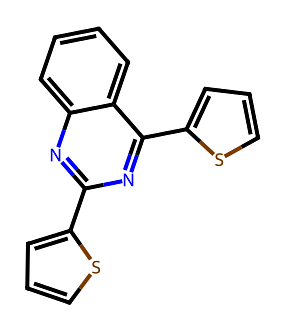 c1csc(-c2nc(-c3cccs3)c3ccccc3n2)c1